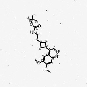 COc1cc2nncc(N3CC(CCNC(=O)OC(C)(C)C)C3)c2cc1OC